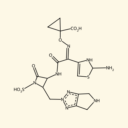 NC1NC(/C(=N/OC2(C(=O)O)CC2)C(=O)NC2C(=O)N(S(=O)(=O)O)C2Cn2nc3c(n2)CNC3)=CS1